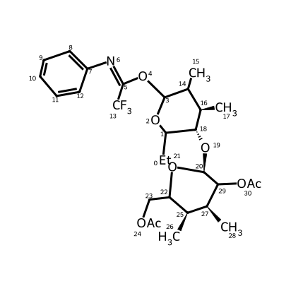 CCC1OC(O/C(=N/c2ccccc2)C(F)(F)F)C(C)[C@@H](C)[C@@H]1O[C@@H]1OC(COC(C)=O)[C@H](C)[C@H](C)C1OC(C)=O